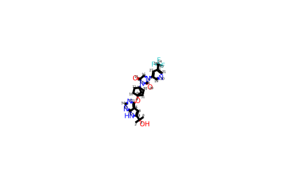 CC(C)(O)c1cc2c(OC34CCC(N5C(=O)CN(c6cncc(C(F)(F)F)c6)C5=O)(CC3)C4)ncnc2[nH]1